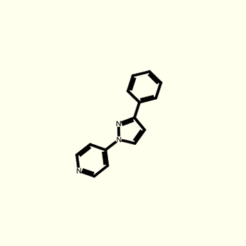 c1ccc(-c2ccn(-c3ccncc3)n2)cc1